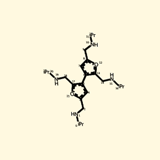 CC(C)NCc1cc(-c2cc(CNC(C)C)oc2CNC(C)C)c(CNC(C)C)o1